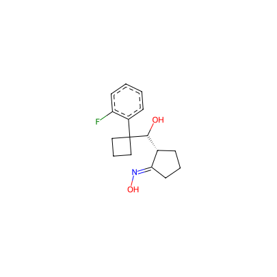 ON=C1CCC[C@H]1C(O)C1(c2ccccc2F)CCC1